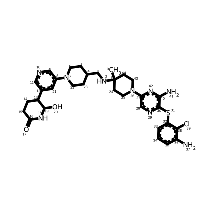 CC1(NCC2CCN(c3cncc(C4CCC(=O)NC4O)c3)CC2)CCN(c2cnc(Sc3cccc(N)c3Cl)c(N)n2)CC1